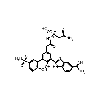 Cl.N=C(N)c1ccc2[nH]c(-c3cc(CC(=O)N[C@@H](CC(N)=O)C(=O)O)cc(-c4cc(S(N)(=O)=O)ccc4O)c3O)nc2c1